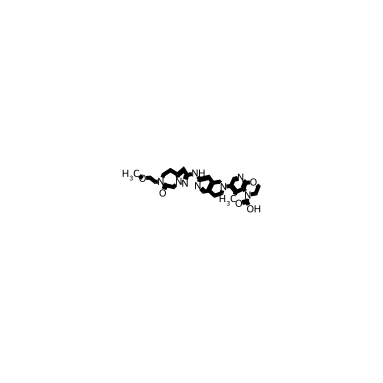 COCCN1CCc2cc(Nc3cc4c(cn3)CCN(c3cnc5c(c3C)N(C(=O)O)CCO5)C4)nn2CC1=O